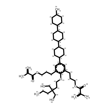 C=C(C)C(=O)OCCCc1cc(C2CCC(C3CCC(C4CCC(C)CC4)CC3)CC2)cc(CCCOC(=O)C(=C)C)c1OCCC(CO)(CO)CCC